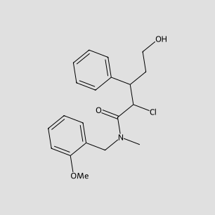 COc1ccccc1CN(C)C(=O)C(Cl)C(CCO)c1ccccc1